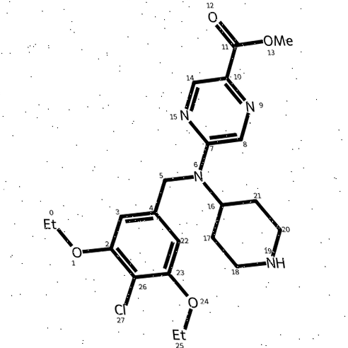 CCOc1cc(CN(c2cnc(C(=O)OC)cn2)C2CCNCC2)cc(OCC)c1Cl